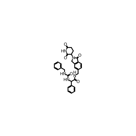 O=C1CCC(N2Cc3cc(CNC(=O)C(NC(=O)NCc4ccccc4)c4ccccc4)ccc3C2=O)C(=O)N1